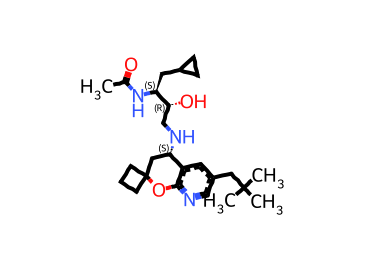 CC(=O)N[C@@H](CC1CC1)[C@H](O)CN[C@H]1CC2(CCC2)Oc2ncc(CC(C)(C)C)cc21